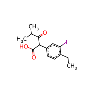 CCc1ccc(C(C(=O)O)C(=O)C(C)C)cc1I